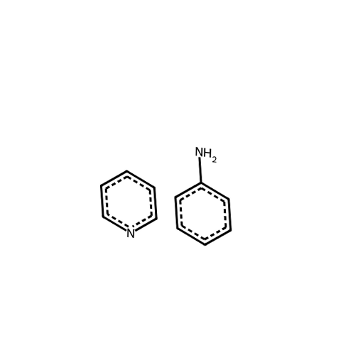 Nc1ccccc1.c1ccncc1